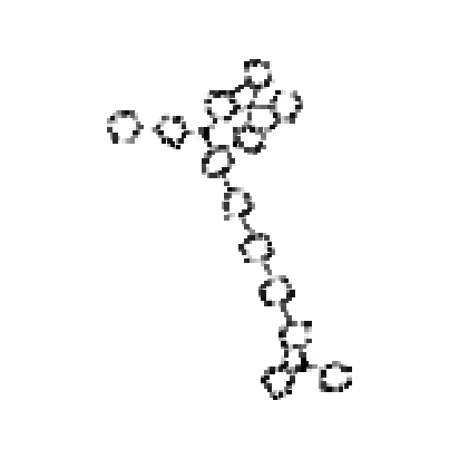 c1ccc(-c2ccc(N(c3ccc(-c4ccc(-c5ccc(-c6ccc(-c7ccc8c(c7)c7ccccc7n8-c7ccccc7)cc6)cc5)cc4)cc3)c3ccc4c(c3)C3(c5ccccc5-c5ccccc53)c3ccccc3-4)cc2)cc1